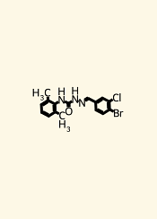 Cc1cccc(C)c1NC(=O)N/N=C/c1ccc(Br)c(Cl)c1